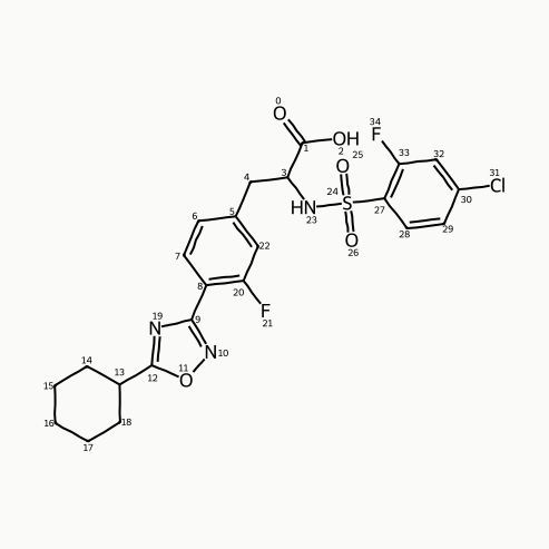 O=C(O)C(Cc1ccc(-c2noc(C3CCCCC3)n2)c(F)c1)NS(=O)(=O)c1ccc(Cl)cc1F